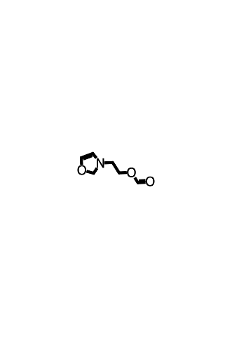 O=COCCN1C=COC1